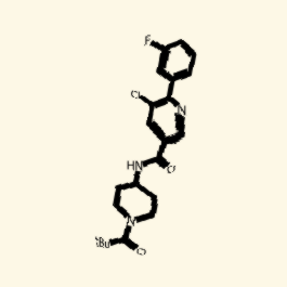 CC(C)(C)C(=O)N1CCC(NC(=O)c2cnc(-c3cccc(F)c3)c(Cl)c2)CC1